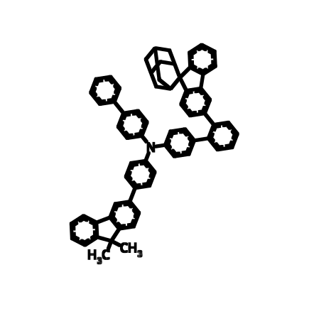 CC1(C)c2ccccc2-c2cc(-c3ccc(N(c4ccc(-c5ccccc5)cc4)c4ccc(-c5ccccc5-c5ccc6c(c5)-c5ccccc5C65C6CC7CC(C6)CC5C7)cc4)cc3)ccc21